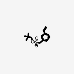 C=Cc1cccc(CS(=O)(=O)OCC(C)(C)C)c1